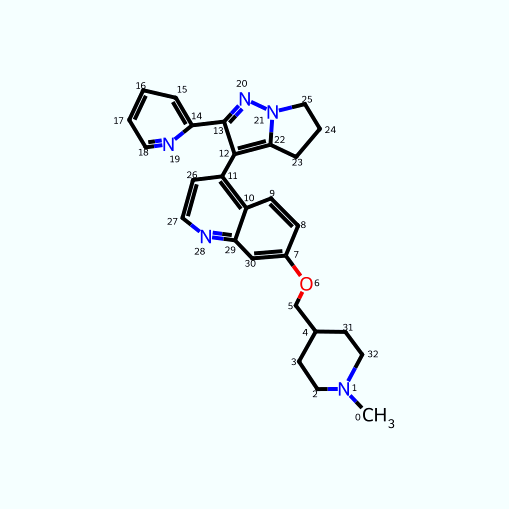 CN1CCC(COc2ccc3c(-c4c(-c5ccccn5)nn5c4CCC5)ccnc3c2)CC1